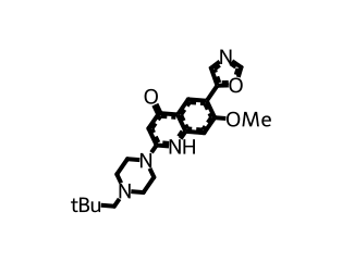 COc1cc2[nH]c(N3CCN(CC(C)(C)C)CC3)cc(=O)c2cc1-c1cnco1